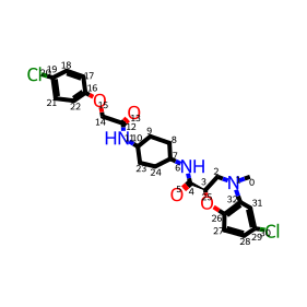 CN1C[C@H](C(=O)NC2CCC(NC(=O)COc3ccc(Cl)cc3)CC2)Oc2ccc(Cl)cc21